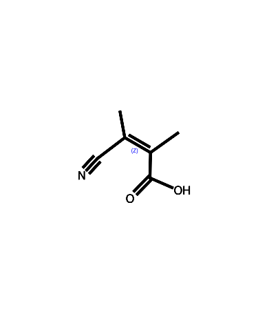 C/C(C#N)=C(\C)C(=O)O